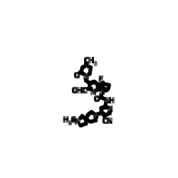 CN1CCN(Cc2cc3c(nc2C=O)N(C(=O)Nc2cc(N4CCC5(CCN(C)C5)CC4)c(C#N)cn2)C2CC3(F)C2)C(=O)C1